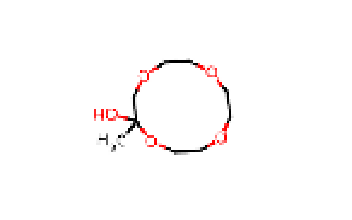 CC1(O)COCCOCCOCCO1